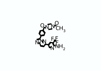 CC(=O)N1CCN(C(=O)c2ccc(-c3cnc4ccc(-c5cnc(N)c(C(F)(F)F)c5)nn34)cc2)CC1